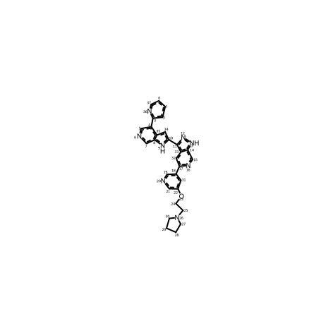 c1ccc(-c2cncc3[nH]c(-c4n[nH]c5cnc(-c6cncc(OCCN7CCCC7)c6)cc45)cc23)nc1